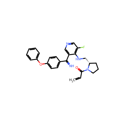 C=CC(=O)N1CCC[C@H]1CNc1c(F)cncc1C(=N)c1ccc(Oc2ccccc2)cc1